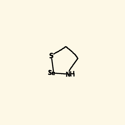 C1CS[Se]N1